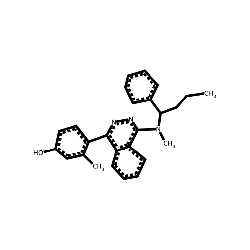 CCCC(c1ccccc1)N(C)c1nnc(-c2ccc(O)cc2C)c2ccccc12